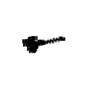 CCC(C)CCCCCCCCCCCOCC(O)CO[C@H]1O[C@H](CO)[C@@H](O)[C@H](OC2O[C@H](CO)[C@@H](O)[C@H](O)[C@H]2O)[C@@H]1O